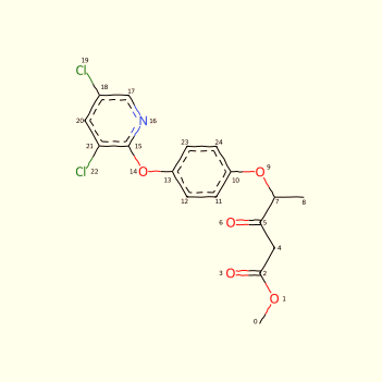 COC(=O)CC(=O)C(C)Oc1ccc(Oc2ncc(Cl)cc2Cl)cc1